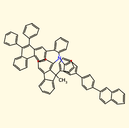 CC1(c2ccccc2)c2ccccc2-c2cccc(N(c3ccc(-c4ccc(-c5ccc6ccccc6c5)cc4)cc3)c3ccccc3-c3ccc4c(c3)c(-c3ccccc3)c(-c3ccccc3)c3ccccc34)c21